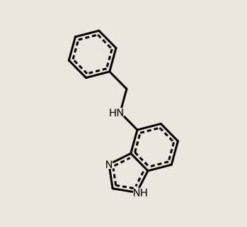 c1ccc(CNc2cccc3[nH]cnc23)cc1